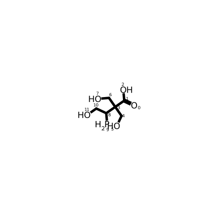 O=C(O)C(CO)(CO)C(P)CO